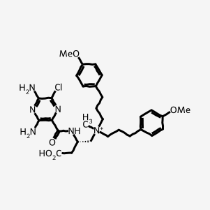 COc1ccc(CCC[N+](C)(CCCc2ccc(OC)cc2)C[C@H](CC(=O)O)NC(=O)c2nc(Cl)c(N)nc2N)cc1